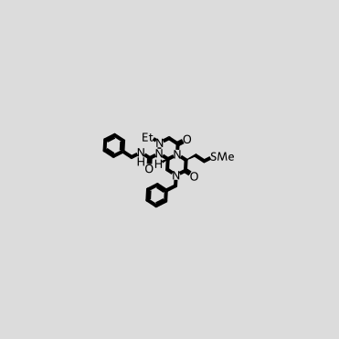 CCN1CC(=O)N2[C@@H](CCSC)C(=O)N(Cc3ccccc3)C[C@@H]2N1C(=O)NCc1ccccc1